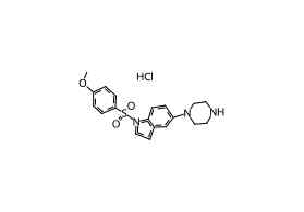 COc1ccc(S(=O)(=O)n2ccc3cc(N4CCNCC4)ccc32)cc1.Cl